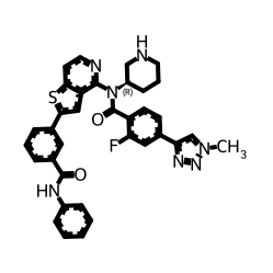 Cn1cc(-c2ccc(C(=O)N(c3nccc4sc(-c5cccc(C(=O)Nc6ccccc6)c5)cc34)[C@@H]3CCCNC3)c(F)c2)nn1